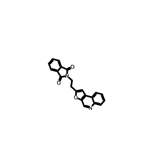 O=C1c2ccccc2C(=O)N1CCc1cc2c(cnc3ccccc32)o1